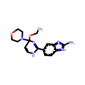 CCOC1(N2CCOCC2)C=CNC(c2ccc3[nH]c(N)nc3c2)=N1